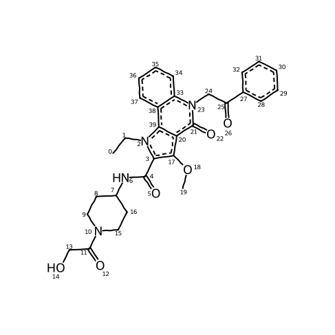 CCn1c(C(=O)NC2CCN(C(=O)CO)CC2)c(OC)c2c(=O)n(CC(=O)c3ccccc3)c3ccccc3c21